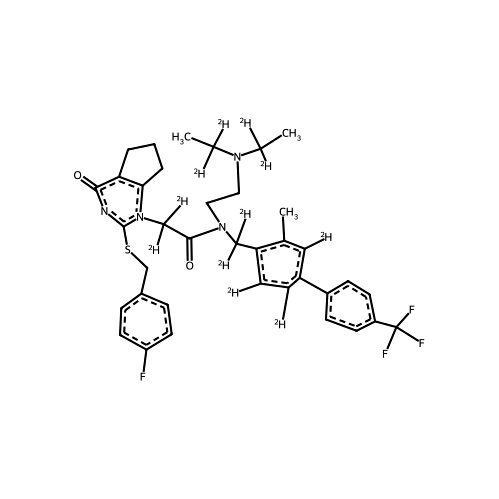 [2H]c1c([2H])c(C([2H])([2H])N(CCN(C([2H])([2H])C)C([2H])([2H])C)C(=O)C([2H])([2H])n2c(SCc3ccc(F)cc3)nc(=O)c3c2CCC3)c(C)c([2H])c1-c1ccc(C(F)(F)F)cc1